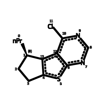 CCC[C@@H]1CCc2sc3ncnc(Cl)c3c21